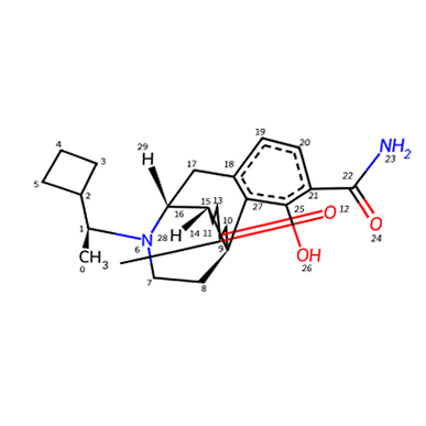 C[C@@H](C1CCC1)N1CC[C@]23CC(=O)CC[C@H]2[C@H]1Cc1ccc(C(N)=O)c(O)c13